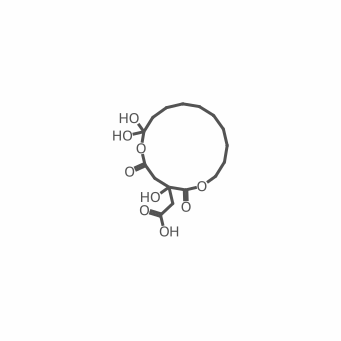 O=C(O)CC1(O)CC(=O)OC(O)(O)CCCCCCCCCOC1=O